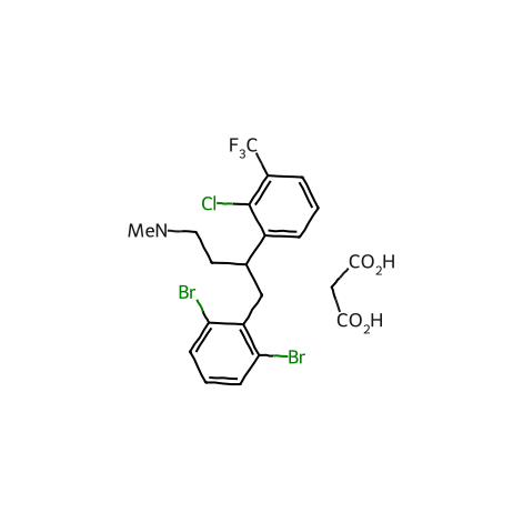 CNCCC(Cc1c(Br)cccc1Br)c1cccc(C(F)(F)F)c1Cl.O=C(O)CC(=O)O